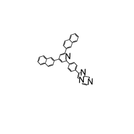 c1ccc2cc(-c3cc(-c4ccc(-c5cn6ccncc6n5)cc4)nc(-c4ccc5ccccc5c4)c3)ccc2c1